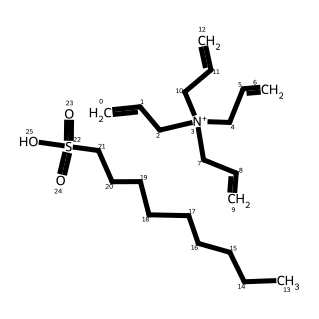 C=CC[N+](CC=C)(CC=C)CC=C.CCCCCCCCCS(=O)(=O)O